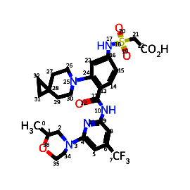 CC1CN(c2cc(C(F)(F)F)cc(NC(=O)c3ccc(NS(=O)(=O)CC(=O)O)cc3N3CCC4(CC3)CC4)n2)CCO1